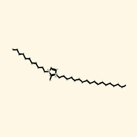 CCCCCCCCCCCCCCCCCC[n+]1ccn(CCCCCCCCCCC)c1C